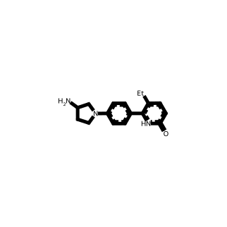 CCc1ccc(=O)[nH]c1-c1ccc(N2CCC(N)C2)cc1